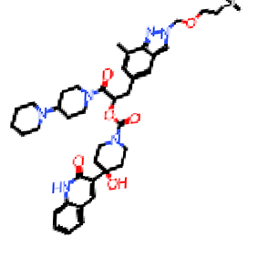 Cc1cc(CC(OC(=O)N2CCC(O)(c3cc4ccccc4[nH]c3=O)CC2)C(=O)N2CCC(N3CCCCC3)CC2)cc2cn(COCC[Si](C)(C)C)nc12